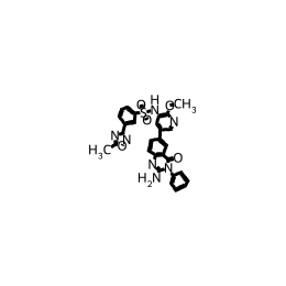 COc1ncc(-c2ccc3nc(N)n(-c4ccccc4)c(=O)c3c2)cc1NS(=O)(=O)c1cccc(-c2noc(C)n2)c1